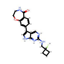 O=C1NCCOc2cc(-c3c[nH]c4nc(NCC5(F)CCC5)ncc34)ccc21